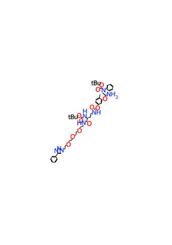 CC(C)(C)OC(=O)N[C@@H](CCNC(=O)Oc1ccc(C[C@@H](C(N)=O)N(C(=O)OC(C)(C)C)c2ccccc2)cc1)C(=O)NCCOCCOCCOCCn1cc(-c2ccccc2)nn1